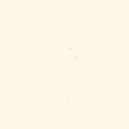 CCC1=CC(CC)C(C)C(NCCc2ccc(N)c(CC)c2)=C1